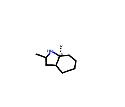 CC1CC2CCCC[C@@H]2N1